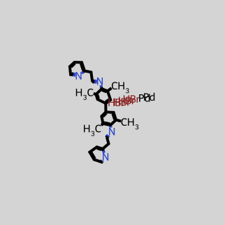 Br.Br.Br.Br.Cc1cc(-c2cc(C)c(N=CCc3ccccn3)c(C)c2)cc(C)c1N=CCc1ccccn1.[Pd].[Pd]